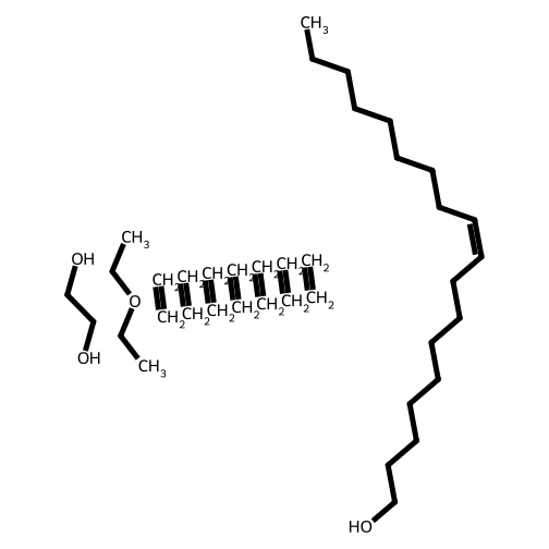 C=C.C=C.C=C.C=C.C=C.C=C.C=C.CCCCCCCC/C=C\CCCCCCCCO.CCOCC.OCCO